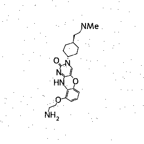 CNCC[C@H]1CC[C@H](n2cc3c(nc2=O)Nc2c(OCCN)cccc2O3)CC1